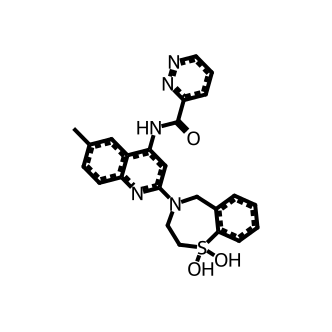 Cc1ccc2nc(N3CCS(O)(O)c4ccccc4C3)cc(NC(=O)c3cccnn3)c2c1